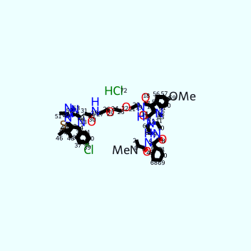 CNC(C)C(=O)NC(C(=O)N1CCN(C(=O)c2c(C(=O)NCCOCCOCCNC(=O)C[C@@H]3N=C(c4ccc(Cl)cc4)c4c(sc(C)c4C)-n4c(C)nnc43)c3ccc(OC)cc3n2C)CC1)C1CCCCC1.Cl